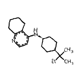 CCC(C)(C)[C@H]1CC[C@@H](Nc2ccnc3c2CCCC3)CC1